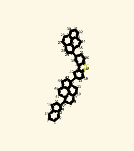 c1ccc2cc(-c3ccc4ccc5c(-c6ccc7sc8ccc(-c9ccc%10ccc%11cccc%12ccc9c%10c%11%12)cc8c7c6)ccc6ccc3c4c65)ccc2c1